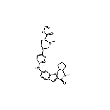 C[C@H]1CN(c2ccc(Nc3ncc4cc5n(c4n3)C3CCCC3N(C)C5=O)nc2)CCN1C(=O)OC(C)(C)C